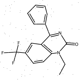 CCn1c(=O)nc(-c2ccccc2)c2cc(C(F)(F)F)ccc21